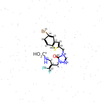 O=C(O)NCC(Cn1ncn(Cc2cc3cc(Br)ccc3s2)c1=O)=C(F)F